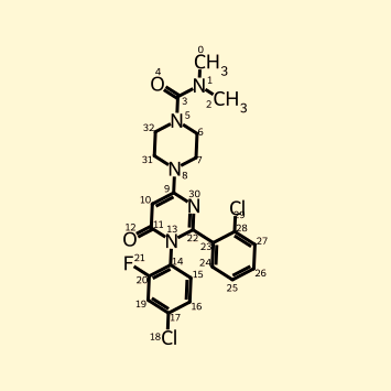 CN(C)C(=O)N1CCN(c2cc(=O)n(-c3ccc(Cl)cc3F)c(-c3ccccc3Cl)n2)CC1